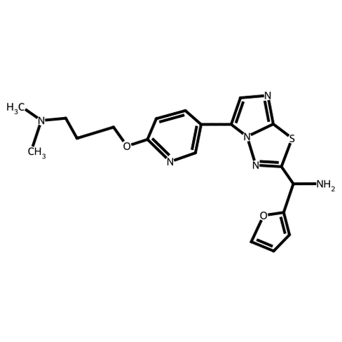 CN(C)CCCOc1ccc(-c2cnc3sc(C(N)c4ccco4)nn23)cn1